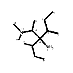 CCC(C)C([SiH3])(C(C)CC)C(C)N(C)C